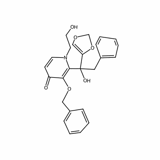 O=c1ccn(CCO)c(C(O)(Cc2ccccc2)C2=COCO2)c1OCc1ccccc1